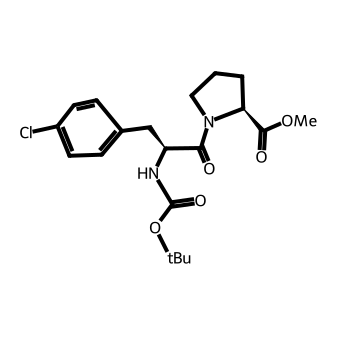 COC(=O)[C@@H]1CCCN1C(=O)[C@H](Cc1ccc(Cl)cc1)NC(=O)OC(C)(C)C